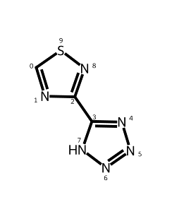 c1nc(-c2nnn[nH]2)ns1